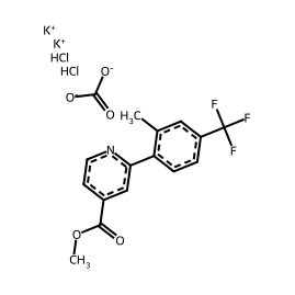 COC(=O)c1ccnc(-c2ccc(C(F)(F)F)cc2C)c1.Cl.Cl.O=C([O-])[O-].[K+].[K+]